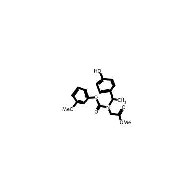 COC(=O)CN(C(=O)Oc1cccc(OC)c1)C(C)c1ccc(O)cc1